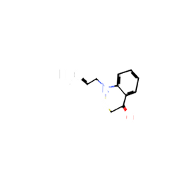 C=CCN1SCC(=O)c2ccccc21